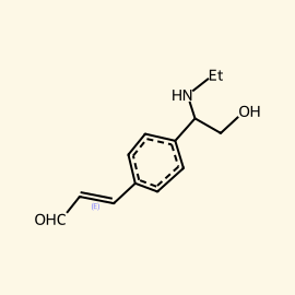 CCNC(CO)c1ccc(/C=C/C=O)cc1